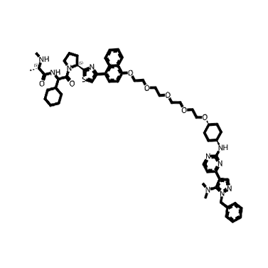 CN[C@@H](C)C(=O)NC(C(=O)N1CCC[C@H]1c1nc(-c2ccc(OCCOCCOCCOCCO[C@H]3CC[C@H](Nc4nccc(-c5cnn(Cc6ccccc6)c5N(C)C)n4)CC3)c3ccccc23)cs1)C1CCCCC1